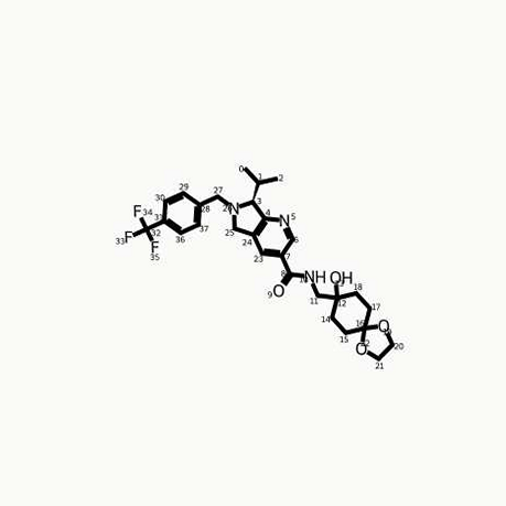 CC(C)[C@H]1c2ncc(C(=O)NCC3(O)CCC4(CC3)OCCO4)cc2CN1Cc1ccc(C(F)(F)F)cc1